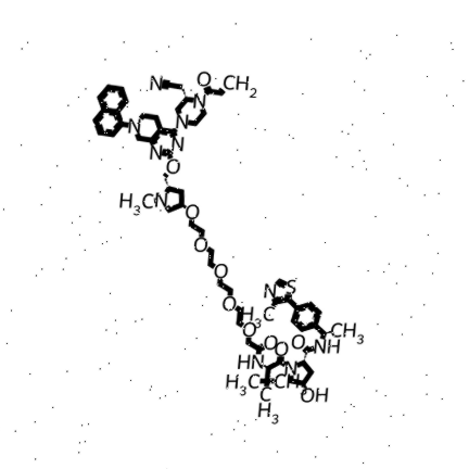 C=CC(=O)N1CCN(c2nc(OC[C@@H]3C[C@@H](OCCOCCOCCOCCOCC(=O)N[C@H](C(=O)N4C[C@H](O)C[C@H]4C(=O)N[C@@H](C)c4ccc(-c5scnc5C)cc4)C(C)(C)C)CN3C)nc3c2CCN(c2cccc4ccccc24)C3)C[C@@H]1CC#N